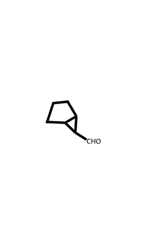 O=CC1C2CCCC12